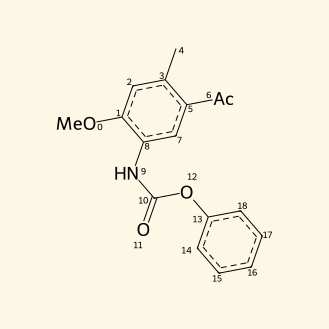 COc1cc(C)c(C(C)=O)cc1NC(=O)Oc1ccccc1